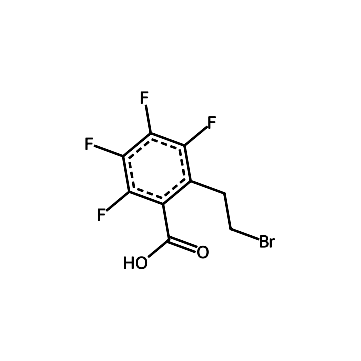 O=C(O)c1c(F)c(F)c(F)c(F)c1CCBr